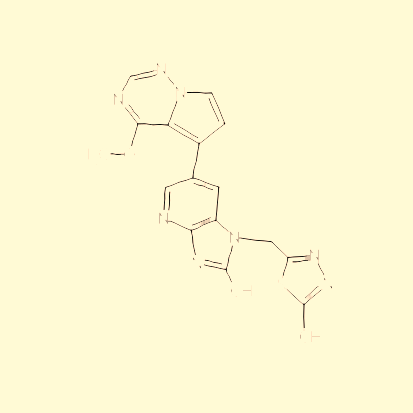 COc1ncnn2ccc(-c3cnc4nc(C)n(Cc5nnc(C)s5)c4c3)c12